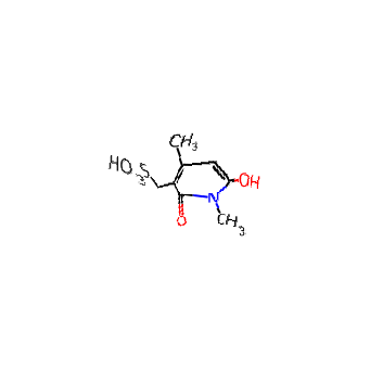 Cc1cc(O)n(C)c(=O)c1CS(=O)(=O)O